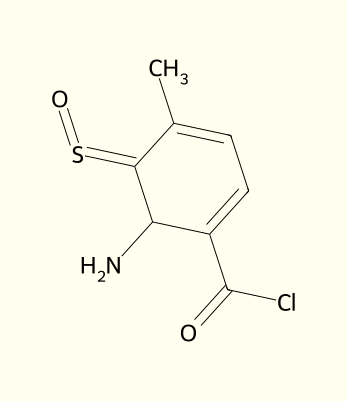 CC1=CC=C(C(=O)Cl)C(N)C1=S=O